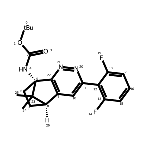 CC(C)(C)OC(=O)N[C@]12CC[C@H](c3cc(-c4c(F)cccc4F)nnc31)C2(C)C